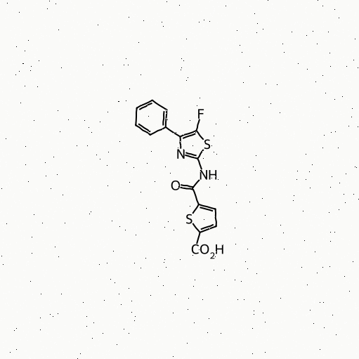 O=C(O)c1ccc(C(=O)Nc2nc(-c3ccccc3)c(F)s2)s1